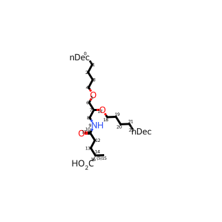 CCCCCCCCCCCCCCOCC(CNC(=O)CC[C@H](C)C(=O)O)OCCCCCCCCCCCCCC